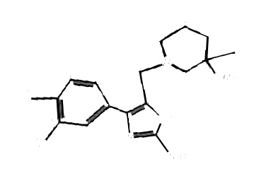 COC1(C)CCCN(Cc2sc(NC(C)=O)nc2-c2ccc(Cl)c(C(F)(F)F)c2)C1